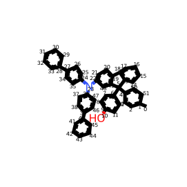 Cc1ccc(C2(c3ccc(O)cc3)c3ccccc3-c3ccc(N(c4ccc(-c5ccccc5)cc4)c4ccc(-c5ccccc5)cc4)cc32)cc1